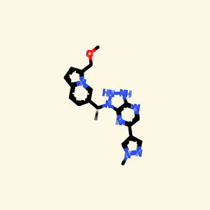 COCc1ccc2ccc([C@@H](C)N3NNc4ncc(-c5cnn(C)c5)nc43)cn12